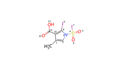 Cc1cn(S(=O)(=O)I)c(I)c1C(=O)O